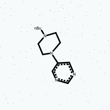 [CH2]CCCN1CCN(c2cncnc2)CC1